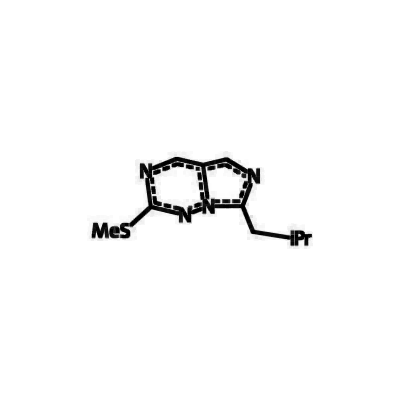 CSc1ncc2cnc(CC(C)C)n2n1